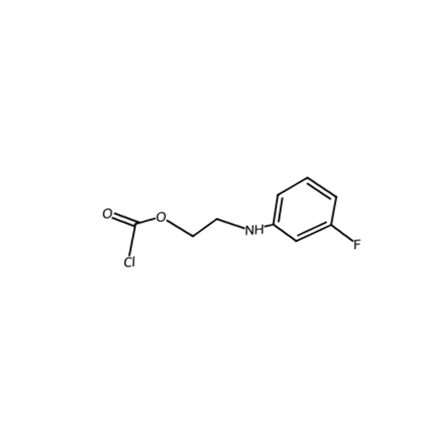 O=C(Cl)OCCNc1cccc(F)c1